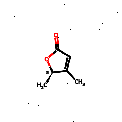 CC1=CC(=O)O[C@H]1C